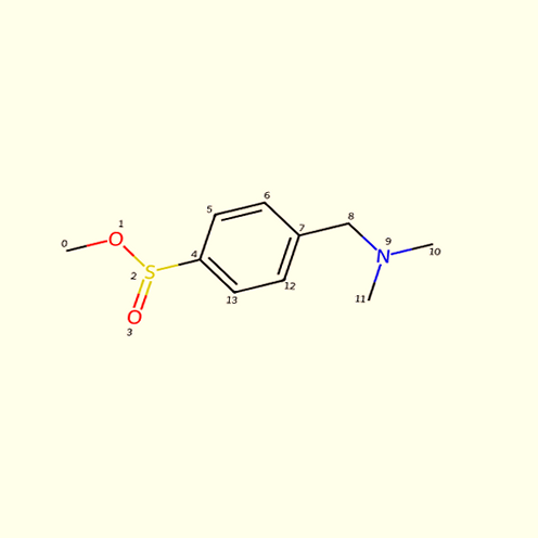 COS(=O)c1ccc(CN(C)C)cc1